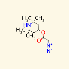 CC1(C)CC(OC(=O)C=[N+]=[N-])CC(C)(C)N1